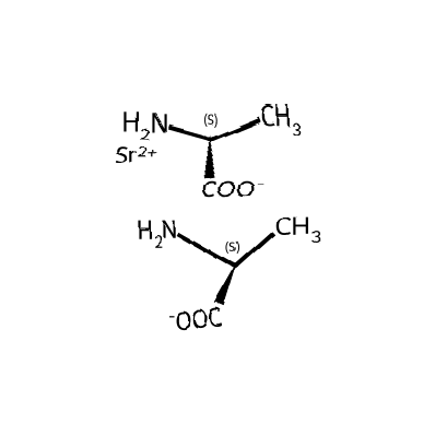 C[C@H](N)C(=O)[O-].C[C@H](N)C(=O)[O-].[Sr+2]